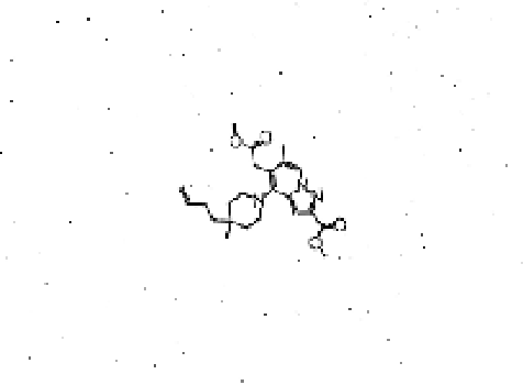 C=CCCC1(C)CCN(c2c(CC(=O)OC)c(C)cn3nc(C(=O)OC)cc23)CC1